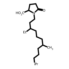 CCC(CCCC(C)CCCC(C)C)CCN1C(=O)CCC1C(=O)O